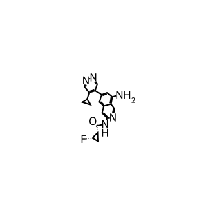 Nc1cc(-c2cnncc2C2CC2)cc2cc(NC(=O)[C@@H]3C[C@@H]3F)ncc12